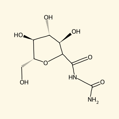 NC(=O)NC(=O)C1O[C@H](CO)[C@@H](O)[C@H](O)[C@H]1O